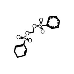 O=S(=O)(OCOS(=O)(=O)c1ccccc1)C1=CCCC=C1